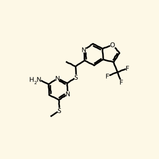 CSc1cc(N)nc(SC(C)c2cc3c(C(F)(F)F)coc3cn2)n1